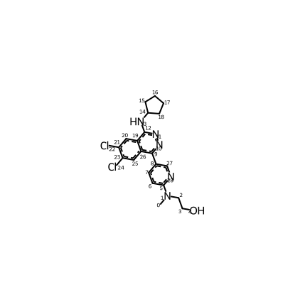 CN(CCO)c1ccc(-c2nnc(NC3CCCC3)c3cc(Cl)c(Cl)cc23)cn1